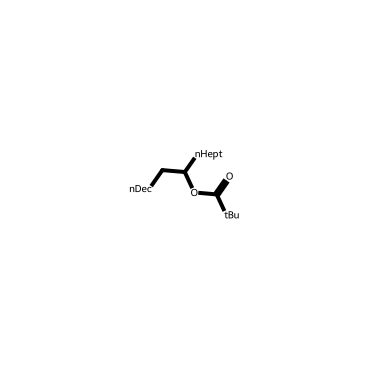 CCCCCCCCCCCC(CCCCCCC)OC(=O)C(C)(C)C